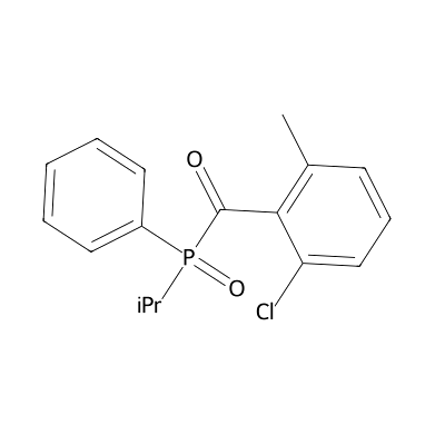 Cc1cccc(Cl)c1C(=O)P(=O)(c1ccccc1)C(C)C